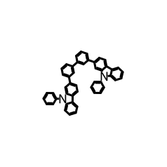 c1ccc(-n2c3ccccc3c3ccc(-c4cccc(-c5cccc(-c6ccc7c8ccccc8n(-c8ccccc8)c7c6)c5)c4)cc32)cc1